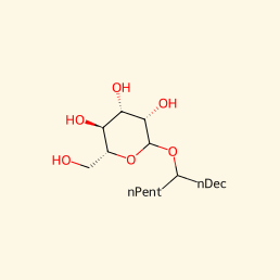 CCCCCCCCCCC(CCCCC)OC1O[C@H](CO)[C@@H](O)[C@H](O)[C@@H]1O